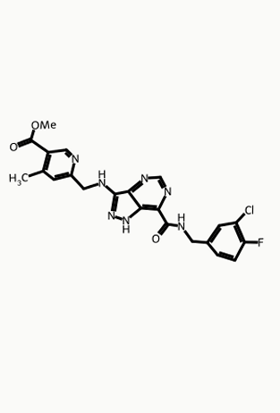 COC(=O)c1cnc(CNc2n[nH]c3c(C(=O)NCc4ccc(F)c(Cl)c4)ncnc23)cc1C